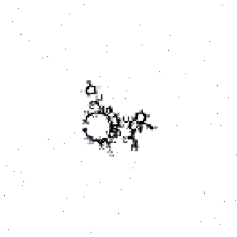 C#Cc1cccc2c(O[C@@H]3C[C@H]4C(=O)N[C@]5(C(=O)OC)CC5/C=C\CCCCC[C@H](NC(=O)OC5CCCC5)C(=O)N4C3)cc(C(=O)CBr)nc12